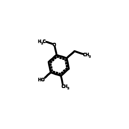 CCc1cc(C)c(O)cc1OC